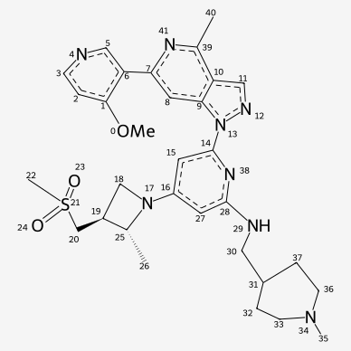 COc1ccncc1-c1cc2c(cnn2-c2cc(N3C[C@H](CS(C)(=O)=O)[C@H]3C)cc(NCC3CCN(C)CC3)n2)c(C)n1